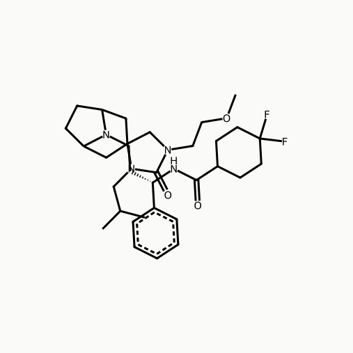 COCCN1CC2(CC3CCC(C2)N3CC[C@H](NC(=O)C2CCC(F)(F)CC2)c2ccccc2)N(CC(C)C)C1=O